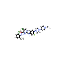 CN1CCC(N2CCN(c3ccc(Nc4ncc(Cl)c(C(=O)Nc5c(Cl)cccc5C#N)n4)cc3F)CC2)CC1